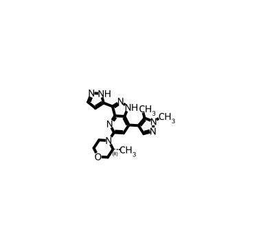 Cc1c(-c2cc(N3CCOC[C@H]3C)nc3c(-c4ccn[nH]4)n[nH]c23)cnn1C